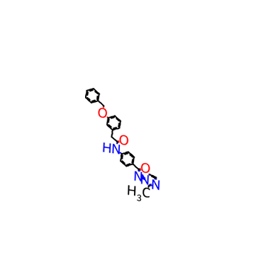 Cc1ncc2oc(-c3ccc(NC(=O)Cc4cccc(OCc5ccccc5)c4)cc3)nn12